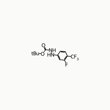 CC(C)(C)OC(=O)NNc1ccc(C(F)(F)F)c(F)c1